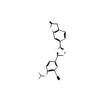 CC(C)Nc1ccc(-c2nc(-c3ccc4c(c3)NC(=O)C4)no2)cc1C#N